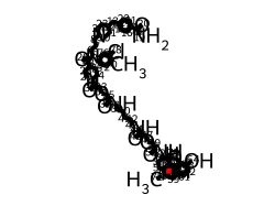 Cc1ccc(N(CCCN2CCC(Cc3ccc(C(N)=O)cc3)CC2)C(=O)C2CCN(C(=O)COCC(=O)NCCCCCNC(=O)COCC(=O)N[C@H]3CC[C@@]4(O)C5Cc6ccc(O)c7c6[C@@]4(CCN5C)[C@H]3O7)CC2)cc1Cl